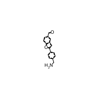 NCc1ccc(-c2cc3cc(C=O)ccc3o2)cc1